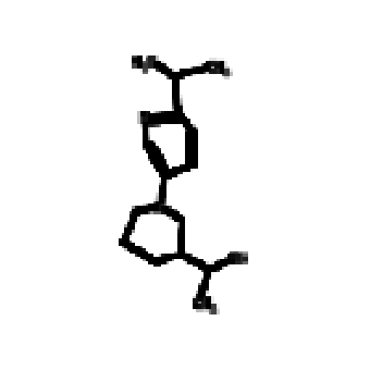 CC(C)c1ccc(N2CCC[C@H]([C@H](C)O)C2)cn1